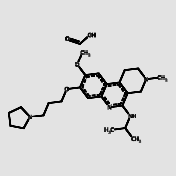 COc1cc2c3c(c(NC(C)C)nc2cc1OCCCN1CCCC1)CN(C)CC3.O=CO